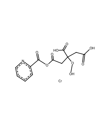 O=C(O)CC(CC(=O)OC(=O)c1ccccn1)(OO)C(=O)O.[Cr]